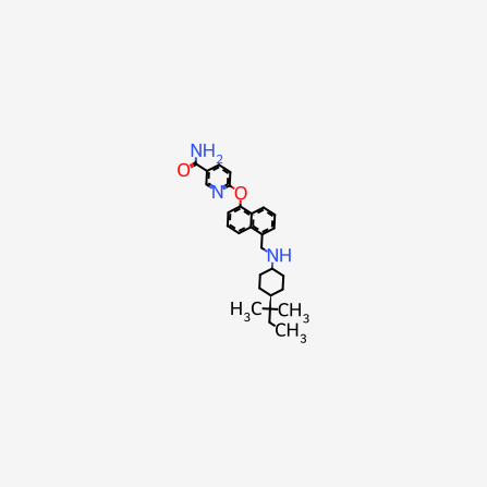 CCC(C)(C)[C@H]1CC[C@@H](NCc2cccc3c(Oc4ccc(C(N)=O)cn4)cccc23)CC1